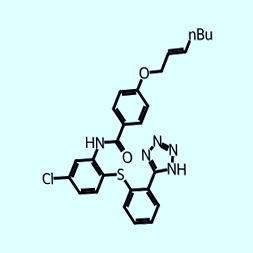 CCCCC=CCOc1ccc(C(=O)Nc2cc(Cl)ccc2Sc2ccccc2-c2nnn[nH]2)cc1